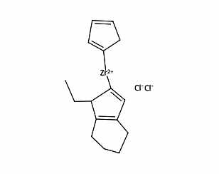 CCC1[C]([Zr+2][C]2=CC=CC2)=CC2=C1CCCC2.[Cl-].[Cl-]